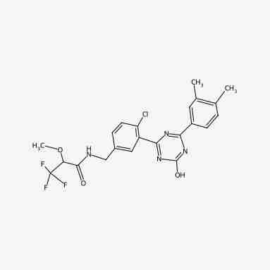 COC(C(=O)NCc1ccc(Cl)c(-c2nc(O)nc(-c3ccc(C)c(C)c3)n2)c1)C(F)(F)F